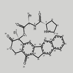 CC[C@@]1(OC(=O)[C@@H](NC(=O)[C@@H]2CCCN2)C(C)C)C(=O)OCc2c1cc1n(c2=O)Cc2cc3ccccc3nc2-1